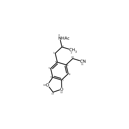 CC(=O)NC(C)Cc1cc2c(cc1CC#N)OCO2